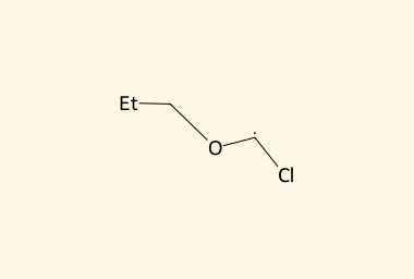 CCCO[CH]Cl